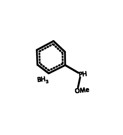 B.COPc1ccccc1